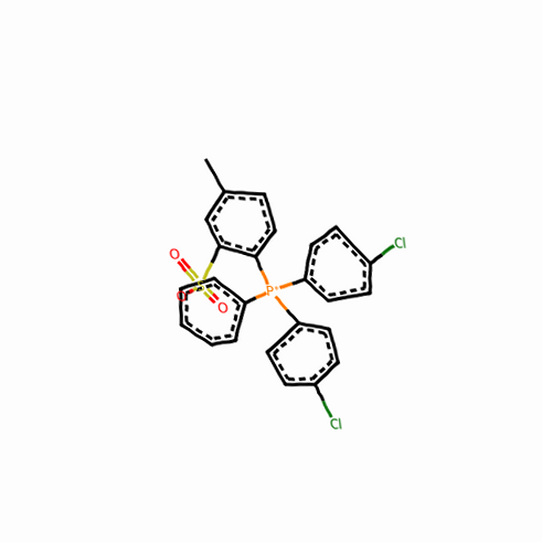 Cc1ccc([P+](c2ccccc2)(c2ccc(Cl)cc2)c2ccc(Cl)cc2)c(S(=O)(=O)[O-])c1